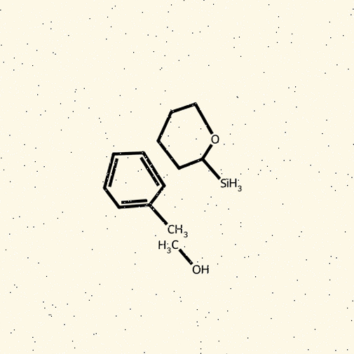 CO.Cc1ccccc1.[SiH3]C1CCCCO1